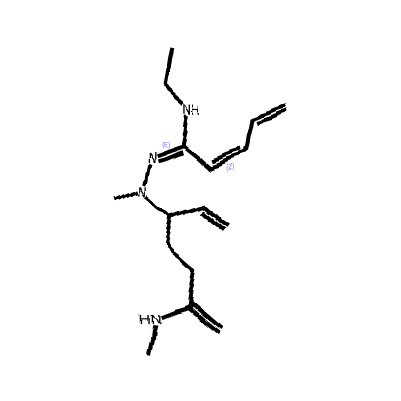 C=C/C=C\C(=N/N(C)C(C=C)CCC(=C)NC)NCC